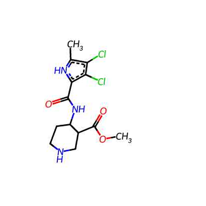 COC(=O)C1CNCCC1NC(=O)c1[nH]c(C)c(Cl)c1Cl